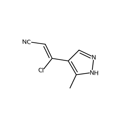 Cc1[nH]ncc1C(Cl)=CC#N